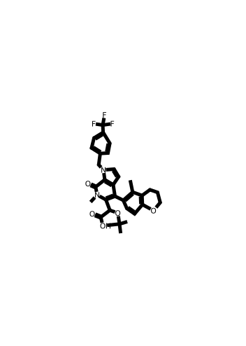 Cc1c(-c2c(C(OC(C)(C)C)C(=O)O)n(C)c(=O)c3c2ccn3Cc2ccc(C(F)(F)F)cc2)ccc2c1CCCO2